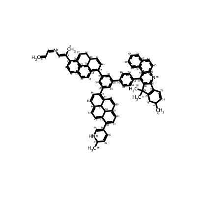 C=C/C=N\C=C(/C)c1ccc2ccc3c4c2c1=CCC4C=CC=3c1cc(C2=C3C=CC4=CC=C(C5=CNC(C)C=C5)C5=CC=C(C=C2)C3C45)cc(-c2ccc(-c3c4c(nc5ccc6ccccc6c35)C3=C(CC(C)C=C3)C4(C)C)cc2)c1